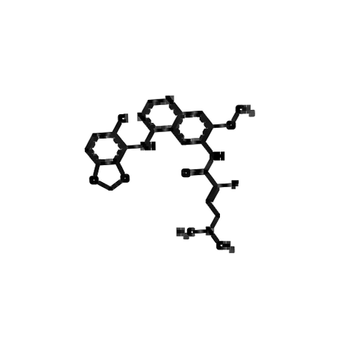 COc1cc2ncnc(Nc3c(Cl)ccc4c3OCO4)c2cc1NC(=O)C(F)=CCN(C)C